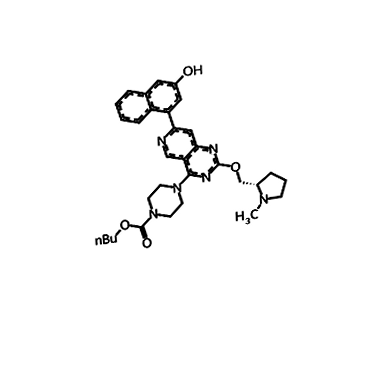 CCCCOC(=O)N1CCN(c2nc(OC[C@@H]3CCCN3C)nc3cc(-c4cc(O)cc5ccccc45)ncc23)CC1